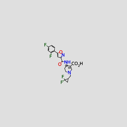 O=C(N[C@H]1CCN(CC2CC2(F)F)C[C@@H]1C(=O)O)c1cc(-c2ccc(F)cc2F)on1